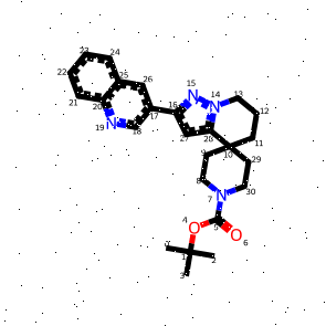 CC(C)(C)OC(=O)N1CCC2(CCCn3nc(-c4cnc5ccccc5c4)cc32)CC1